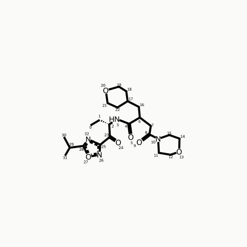 CC[C@H](NC(=O)C(CC(=O)N1CCOCC1)CC1CCOCC1)C(=O)c1noc(C(C)C)n1